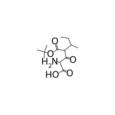 CCC(C)C(C(=O)OC(C)(C)C)C(=O)C(N)C(=O)O